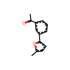 CC(=O)c1cccc(-c2ccc(C)o2)c1